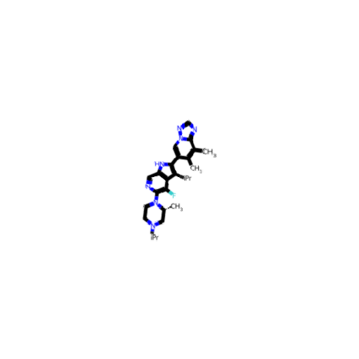 Cc1c(-c2[nH]c3cnc(N4CCN(C(C)C)C[C@H]4C)c(F)c3c2C(C)C)cn2ncnc2c1C